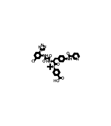 CC(C)(C)N(C(=O)C(Cc1ccc(NC(=O)c2cccnc2)cc1)NC(=O)C(=O)Nc1cc(Cl)ccc1-n1cnnn1)c1ccc(C(=O)O)cc1